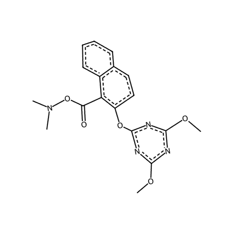 COc1nc(OC)nc(Oc2ccc3ccccc3c2C(=O)ON(C)C)n1